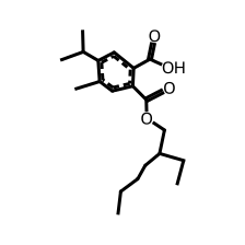 CCCCC(CC)COC(=O)c1cc(C)c(C(C)C)cc1C(=O)O